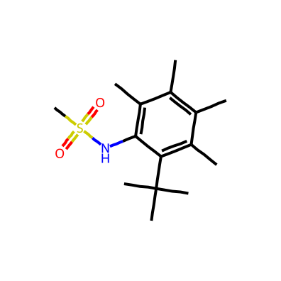 Cc1c(C)c(C)c(C(C)(C)C)c(NS(C)(=O)=O)c1C